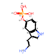 NCCc1c[nH]c2ccc(OP(=O)(O)O)cc12